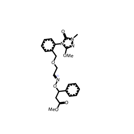 COC(=O)CC(O/N=C/COCc1ccccc1-n1c(OC)nn(C)c1=O)c1ccccc1